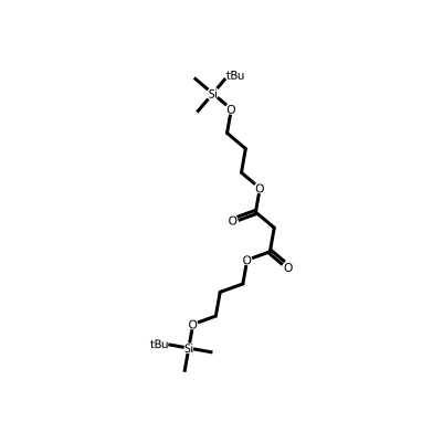 CC(C)(C)[Si](C)(C)OCCCOC(=O)CC(=O)OCCCO[Si](C)(C)C(C)(C)C